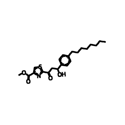 CCCCCCCCc1ccc(C(O)CC(=O)c2nc(C(=O)OC)cs2)cc1